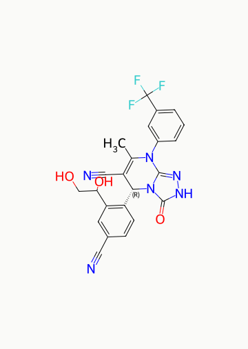 CC1=C(C#N)[C@@H](c2ccc(C#N)cc2C(O)CO)n2c(n[nH]c2=O)N1c1cccc(C(F)(F)F)c1